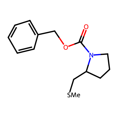 CSCC1CCCN1C(=O)OCc1ccccc1